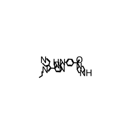 CCCn1cc(-c2ccnc(Nc3ccc(C(=O)N4CCNCC4)cc3)n2)c2ccncc21